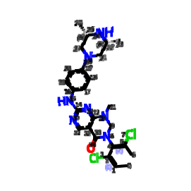 C/C=C(Cl)\C(=C(/C)Cl)N1CN(C)c2nc(Nc3ccc(N4C[C@@H](C)N[C@@H](C)C4)cc3)ncc2C1=O